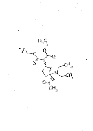 CCOC(=O)C(C(=O)OCC)=C1SCC(OC(C)=O)(N(CC)CC)S1